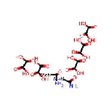 CNC(N)=O.CNC(N)=O.O=C(O)C(=O)O.O=C(O)C(=O)O.O=C(O)C(=O)O.O=C(O)C(=O)O.O=C(O)C(=O)O